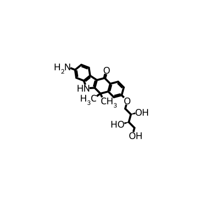 CC1(C)c2cc(OC[C@@H](O)[C@H](O)CO)ccc2C(=O)c2c1[nH]c1cc(N)ccc21